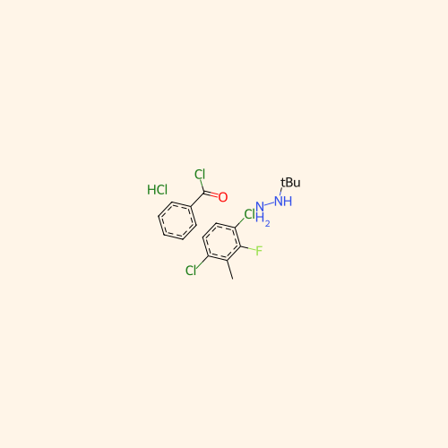 CC(C)(C)NN.Cc1c(Cl)ccc(Cl)c1F.Cl.O=C(Cl)c1ccccc1